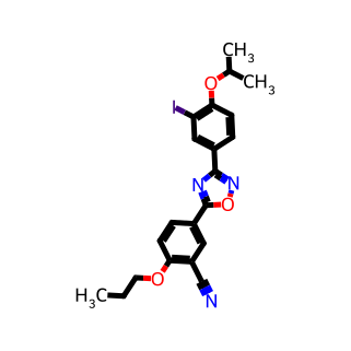 CCCOc1ccc(-c2nc(-c3ccc(OC(C)C)c(I)c3)no2)cc1C#N